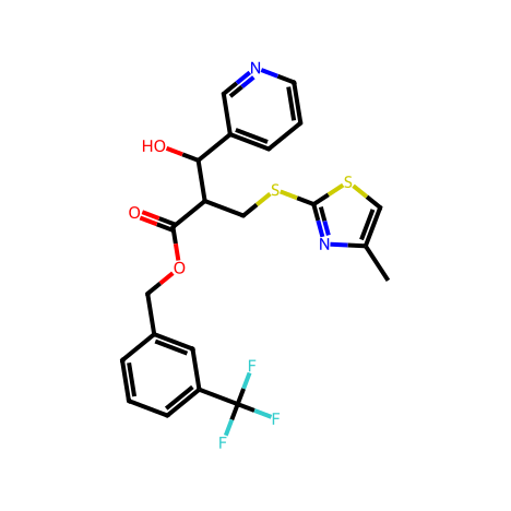 Cc1csc(SCC(C(=O)OCc2cccc(C(F)(F)F)c2)C(O)c2cccnc2)n1